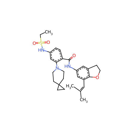 CCS(=O)(=O)Nc1ccc(C(=O)Nc2cc(C=C(C)C)c3c(c2)CCO3)c(N2CCC3(CC2)CC3)c1